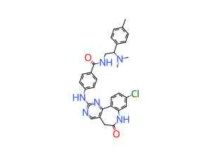 Cc1ccc(C(CNC(=O)c2ccc(Nc3ncc4c(n3)-c3ccc(Cl)cc3NC(=O)C4)cc2)N(C)C)cc1